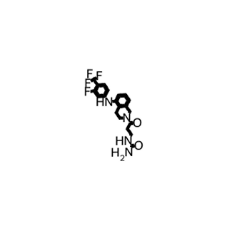 NC(=O)NCCC(=O)N1CCc2c(cccc2Nc2ccc(C(F)(F)F)c(F)c2)C1